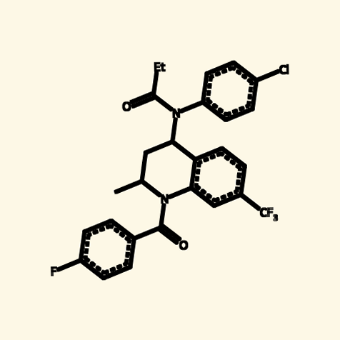 CCC(=O)N(c1ccc(Cl)cc1)C1CC(C)N(C(=O)c2ccc(F)cc2)c2cc(C(F)(F)F)ccc21